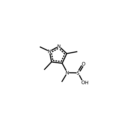 Cc1nn(C)c(C)c1N(C)S(=O)O